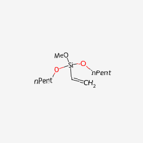 C=C[Si](OC)(OCCCCC)OCCCCC